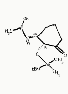 CB(O)N[C@H]1CCCC(=O)[C@@H]1O[Si](C)(C)C(C)(C)C